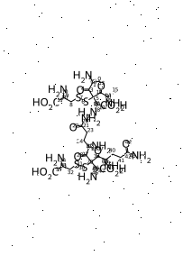 C[C@H](N)C(=O)C(SSC[C@H](N)C(=O)O)(C(=O)[C@H](C)N)[C@H](N)C(=O)O.NC(=O)CC[C@H](N)C(=O)C(SSC[C@H](N)C(=O)O)(C(=O)[C@@H](N)CCC(N)=O)[C@H](N)C(=O)O